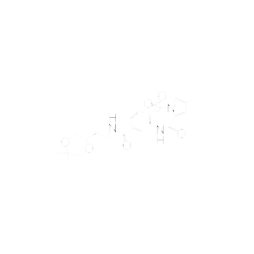 Cc1cc2n(c1)S(=O)(=O)c1ccc(C(=O)NCC[C@@H]3COC(C)(C)CO3)cc1NC2=O